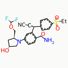 CCS(=O)(=O)c1ccc([C@H](CC#N)c2cc(N3C[C@H](O)C[C@H]3COC(F)F)ccc2C(N)=O)cc1